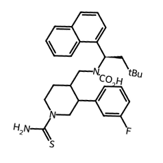 CC(C)(C)C[C@H](c1cccc2ccccc12)N(CC1CCN(C(N)=S)CC1c1cccc(F)c1)C(=O)O